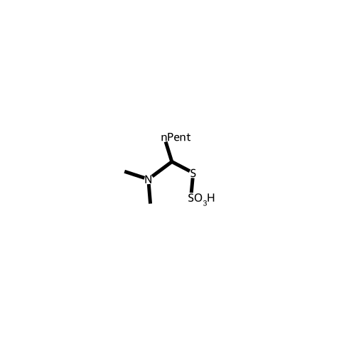 CCCCCC(SS(=O)(=O)O)N(C)C